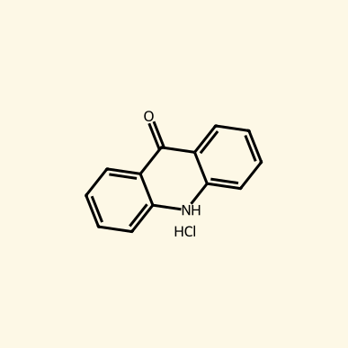 Cl.O=c1c2ccccc2[nH]c2ccccc12